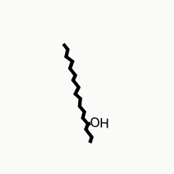 CCCCCCCCCCCCCC(O)CCC